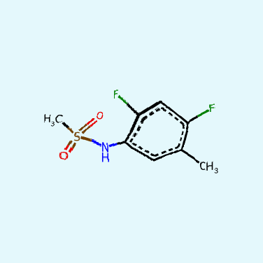 Cc1cc(NS(C)(=O)=O)c(F)cc1F